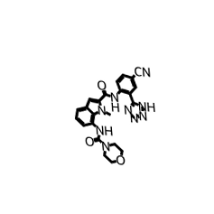 Cn1c(C(=O)Nc2ccc(C#N)cc2-c2nnn[nH]2)cc2cccc(NC(=O)N3CCOCC3)c21